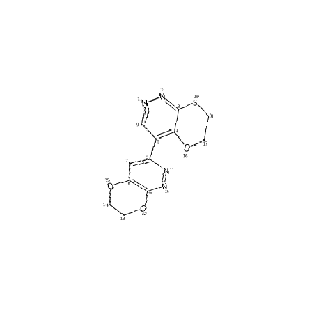 [c]1nnc2c(c1-c1cc3c(nn1)OCCO3)OCCS2